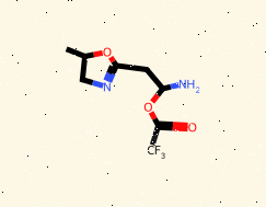 CC1CN=C(CC(N)OC(=O)C(F)(F)F)O1